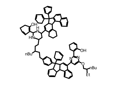 CCCCC(CCc1ccc(C2(C3=CC=CCC3)C3C=CC=CC3C3c4ccccc4C(c4cc(OCC(CC)CCCC)nc(C5=C(O)C=CCC5)n4)=CC32)cc1)CCC1CC(C2=CC3C(C4=C2CCCC4)c2c(ccc4ccccc24)C3(C2=CC=CCC2)c2ccccc2)NC(C2=C(O)CCC=C2)N1